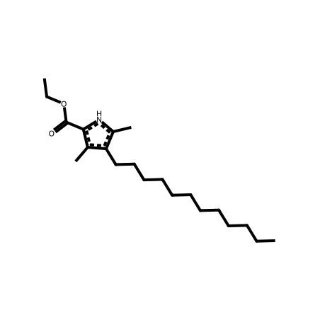 CCCCCCCCCCCCc1c(C)[nH]c(C(=O)OCC)c1C